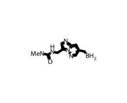 BCc1cnn2c(CNC(=O)NC)cnc2c1